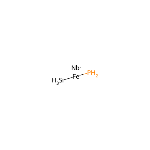 [Nb].[SiH3][Fe][PH2]